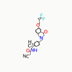 C[C@H](NC(=O)CC#N)c1ccc(CN2CC(=O)c3cc(OCC4CC4(F)F)ccc3C2)cc1